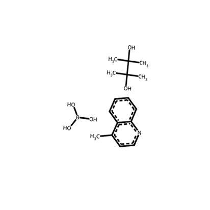 CC(C)(O)C(C)(C)O.Cc1ccnc2ccccc12.OB(O)O